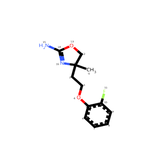 CC1(CCOc2ccccc2F)COC(N)=N1